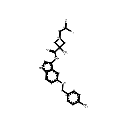 CC1(C(=O)Nc2c[nH]c3ccc(OCc4ccc(C(F)(F)F)cc4)cc23)CN(CC(F)F)C1